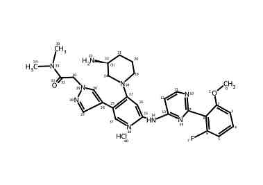 COc1cccc(F)c1-c1nccc(Nc2cc(N3CCC[C@H](N)C3)c(-c3cnn(CC(=O)N(C)C)c3)cn2)n1.Cl